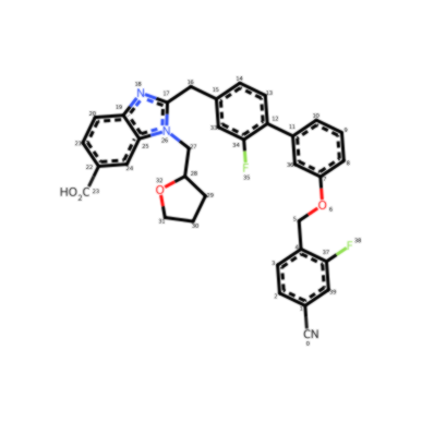 N#Cc1ccc(COc2cccc(-c3ccc(Cc4nc5ccc(C(=O)O)cc5n4CC4CCCO4)cc3F)c2)c(F)c1